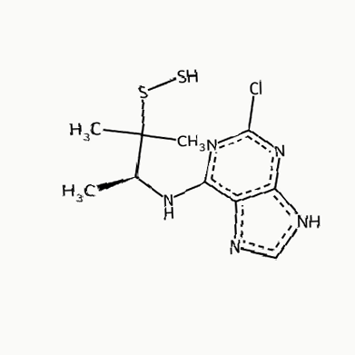 C[C@H](Nc1nc(Cl)nc2[nH]cnc12)C(C)(C)SS